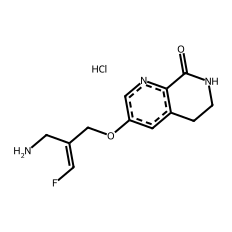 Cl.NCC(=CF)COc1cnc2c(c1)CCNC2=O